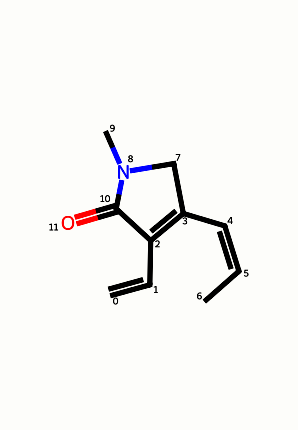 C=CC1=C(/C=C\C)CN(C)C1=O